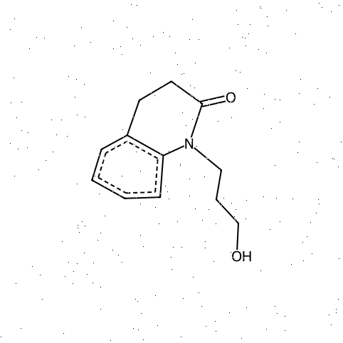 O=C1CCc2ccccc2N1CCCO